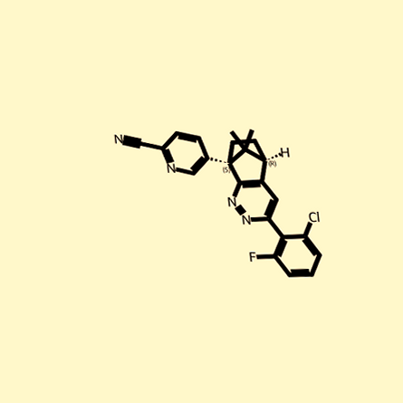 CC1(C)[C@H]2CC[C@]1(c1ccc(C#N)nc1)c1nnc(-c3c(F)cccc3Cl)cc12